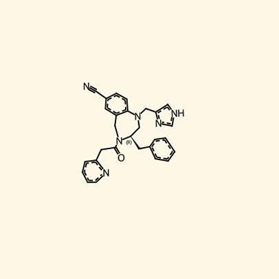 N#Cc1ccc2c(c1)CN(C(=O)Cc1ccccn1)[C@H](Cc1ccccc1)CN2Cc1c[nH]cn1